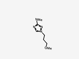 CNc1ncn(CCCOC)n1